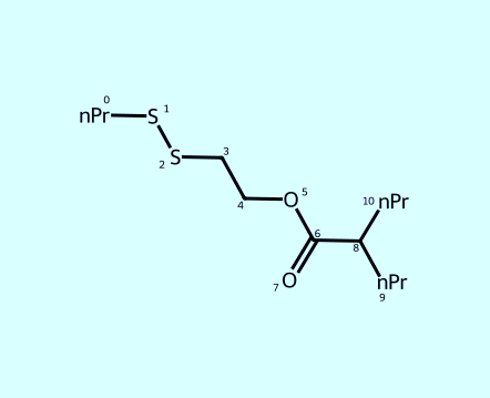 CCCSSCCOC(=O)C(CCC)CCC